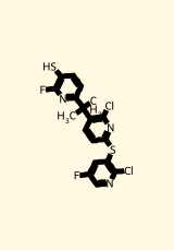 CC(C)(c1ccc(S)c(F)n1)c1ccc(Sc2cc(F)cnc2Cl)nc1Cl